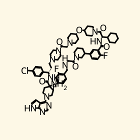 NC1(C(=O)N[C@@H](CCN2CCN(C(=O)CN3CCC(OC4CCN(C(=O)[C@H](NC(=O)c5cc(C6CCCN(C(=O)CNCc7ccc(F)cc7F)C6)ccc5F)C5CCCCC5)CC4)CC3)CC2)c2ccc(Cl)cc2)CCN(c2ncnc3[nH]ccc23)CC1